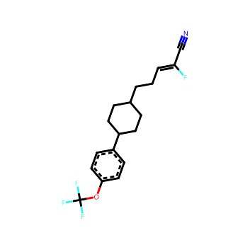 N#CC(F)=CCCC1CCC(c2ccc(OC(F)(F)F)cc2)CC1